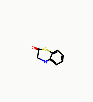 O=C1C[N]c2ccccc2S1